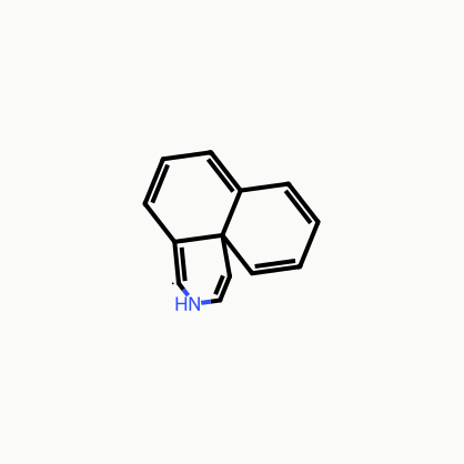 [C]1=C2C=CC=C3C=CC=CC23C=CN1